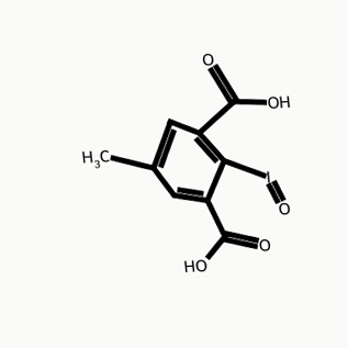 Cc1cc(C(=O)O)c(I=O)c(C(=O)O)c1